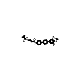 C=C(C)C(=O)OCCCC(=O)OC1CCC(C2CCC(c3cc(F)c(OC(F)(F)F)c(F)c3)CC2)CC1